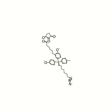 COc1ccc(C(SCCCCCCN=[N+]=[N-])(c2ccc(C)cc2)c2ccc(OC)c(CCCCCC(=O)ON3C(=O)CCC3=O)c2)cc1